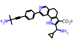 CC(C)(N)C#Cc1ccc(-c2cc3c(cn2)CCc2c-3[nH]c(C(N)C3CC3)c2C(=O)O)cc1